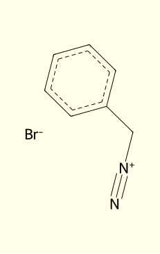 N#[N+]Cc1ccccc1.[Br-]